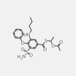 CCCCNc1cc(C(=O)SC(C)OC(C)=O)cc(S(N)(=O)=O)c1Oc1ccccc1